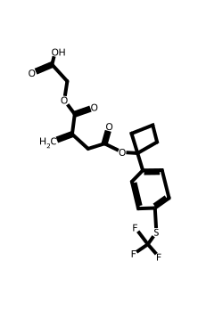 C=C(CC(=O)OC1(c2ccc(SC(F)(F)F)cc2)CCC1)C(=O)OCC(=O)O